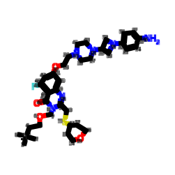 C[Si](C)(C)CCOCn1c(CSC2CCOCC2)nc2cc(OCCN3CCN(C4CN(c5ccc(N)cc5)C4)CC3)cc(F)c2c1=O